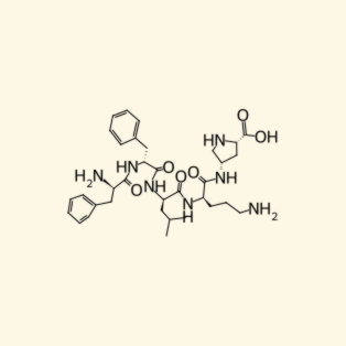 CC(C)C[C@@H](NC(=O)[C@@H](Cc1ccccc1)NC(=O)[C@H](N)Cc1ccccc1)C(=O)N[C@H](CCCN)C(=O)N[C@@H]1CN[C@H](C(=O)O)C1